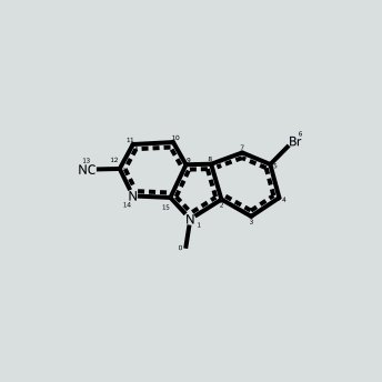 Cn1c2ccc(Br)cc2c2ccc(C#N)nc21